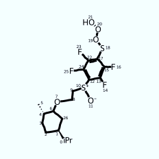 CC(C)[C@H]1CC[C@H](C)C(OCC[S+]([O-])c2c(F)c(F)c(SOOO)c(F)c2F)C1